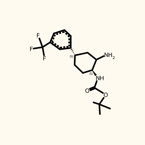 CC(C)(C)OC(=O)N[C@H]1CC[C@H](c2cccc(C(F)(F)F)c2)CC1N